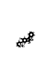 Cc1cc2c(cc1-c1cccc[n+]1C)sc1sc3ccccc3c12